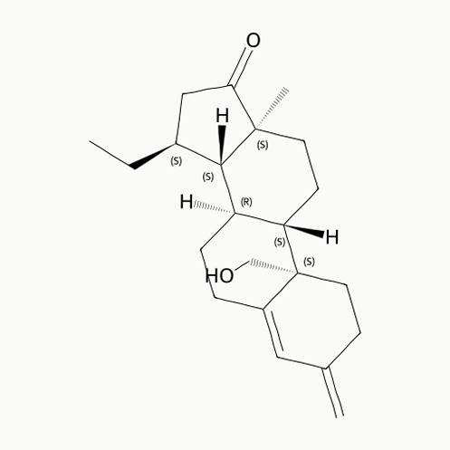 C=C1C=C2CC[C@H]3[C@@H]4[C@@H](CC)CC(=O)[C@@]4(C)CC[C@@H]3[C@@]2(CO)CC1